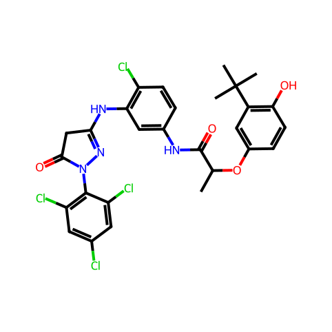 CC(Oc1ccc(O)c(C(C)(C)C)c1)C(=O)Nc1ccc(Cl)c(NC2=NN(c3c(Cl)cc(Cl)cc3Cl)C(=O)C2)c1